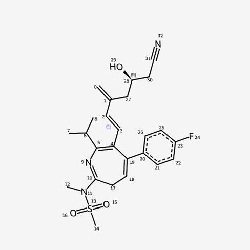 C=C(/C=C/C1=C(C(C)C)N=C(N(C)S(C)(=O)=O)CC=C1c1ccc(F)cc1)C[C@@H](O)CC#N